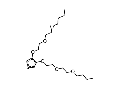 CCCCOCCOCCOc1cscc1OCCOCCOCCCC